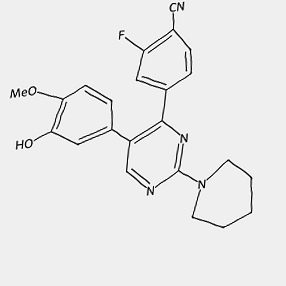 COc1ccc(-c2cnc(N3CCCCC3)nc2-c2ccc(C#N)c(F)c2)cc1O